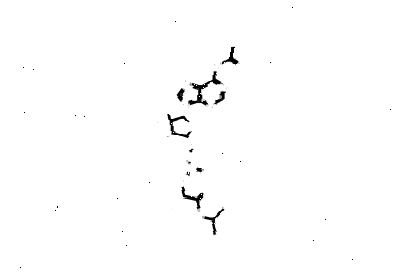 CC(=O)Nc1ncnc2c1ncn2[C@@H]1O[C@H](CO[PH](=O)N[C@@H](C)C(=O)OC(C)C)[C@@H](O)[C@@]1(C)F